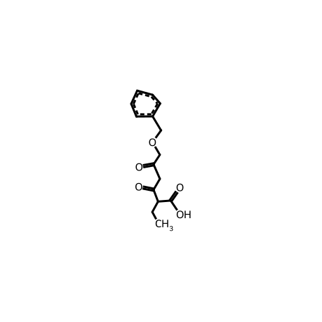 CCC(C(=O)O)C(=O)CC(=O)COCc1ccccc1